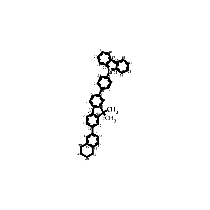 CC1(C)c2cc(-c3ccc(-n4c5ccccc5c5ccccc54)cc3)ccc2-c2ccc(-c3ccc4c(c3)CCCC4)cc21